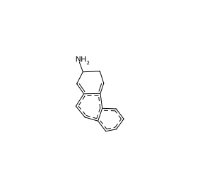 NC1C=c2ccc3ccccc3c2=CC1